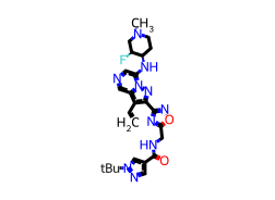 C=Cc1c(-c2noc(CNC(=O)c3cnn(C(C)(C)C)c3)n2)nn2c(N[C@@H]3CCN(C)C[C@@H]3F)cncc12